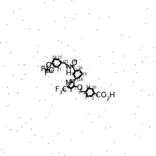 O=C(O)c1ccc(COc2cc(C(F)(F)F)nn2-c2cccc(C(=O)NCc3ccc4c(c3)OC(F)(F)O4)c2)cc1